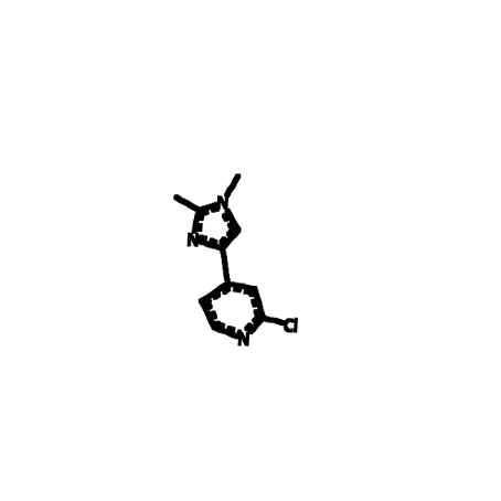 Cc1nc(-c2ccnc(Cl)c2)cn1C